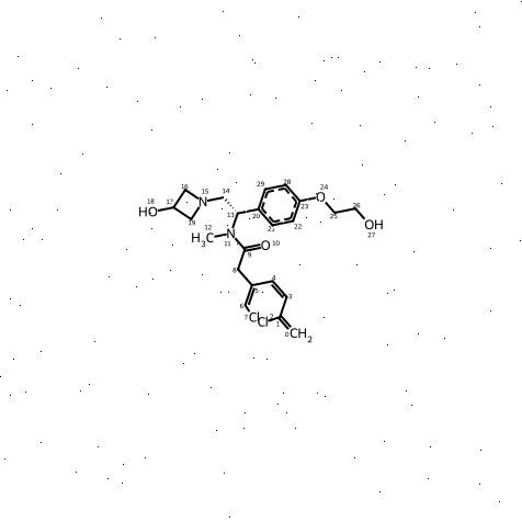 C=C(Cl)/C=C\C(=C/Cl)CC(=O)N(C)[C@H](CN1CC(O)C1)c1ccc(OCCO)cc1